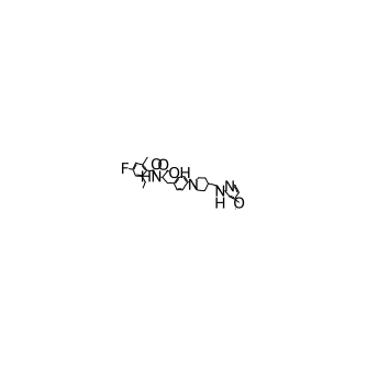 CCc1cc(F)cc(C)c1C(=O)NC(Cc1ccc(N2CCC(CNc3cc(OC)ccn3)CC2)cc1)C(=O)O